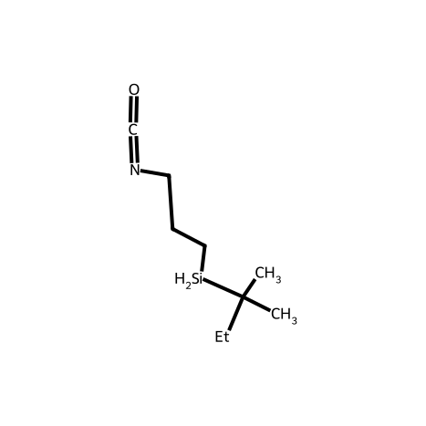 CCC(C)(C)[SiH2]CCCN=C=O